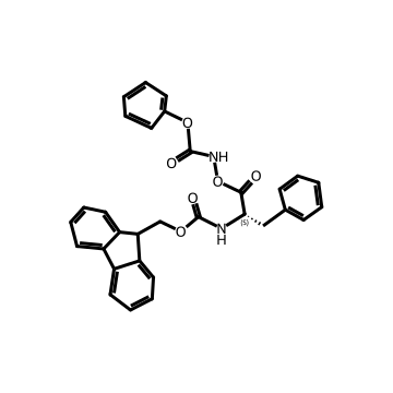 O=C(N[C@@H](Cc1ccccc1)C(=O)ONC(=O)Oc1ccccc1)OCC1c2ccccc2-c2ccccc21